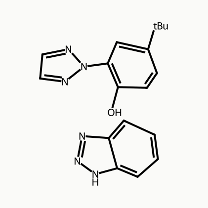 CC(C)(C)c1ccc(O)c(-n2nccn2)c1.c1ccc2[nH]nnc2c1